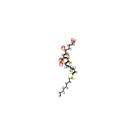 CCCCCCCCSc1ccc(-c2cc3c(s2)-c2sc(C(=O)CCCBr)cc2S3(=O)=O)s1